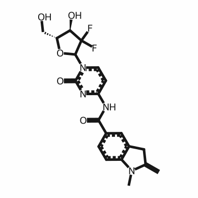 C=C1Cc2cc(C(=O)Nc3ccn(C4O[C@H](CO)[C@@H](O)C4(F)F)c(=O)n3)ccc2N1C